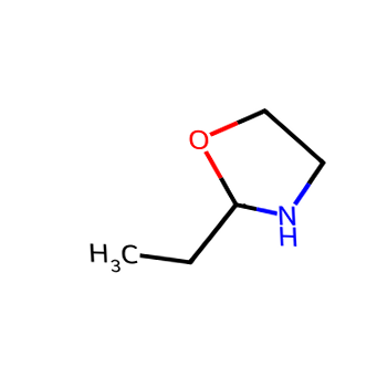 CC[C]1NCCO1